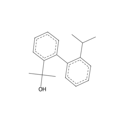 CC(C)c1ccccc1-c1ccccc1C(C)(C)O